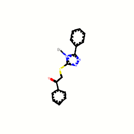 CCn1c(SCC(=O)c2ccccc2)nnc1-c1ccccc1